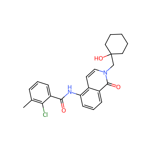 Cc1cccc(C(=O)Nc2cccc3c(=O)n(CC4(O)CCCCC4)ccc23)c1Cl